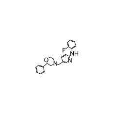 Fc1ccccc1Nc1ccc(CN2CCOC(c3ccccc3)C2)cn1